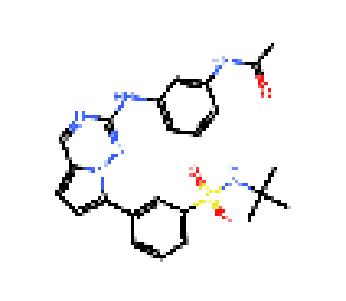 CC(=O)Nc1cccc(Nc2ncc3ccc(-c4cccc(S(=O)(=O)NC(C)(C)C)c4)n3n2)c1